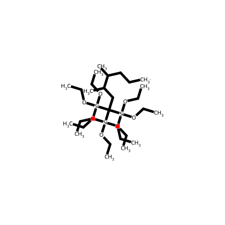 [CH2]CCC(C)C(C)CC([Si](OCC)(OCC)OCC)([Si](OCC)(OCC)OCC)[Si](OCC)(OCC)OCC